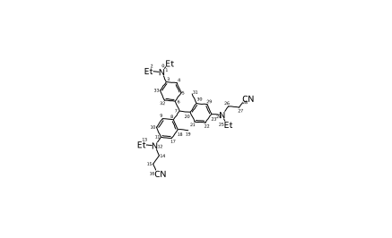 CCN(CC)c1ccc(C(c2ccc(N(CC)CCC#N)cc2C)c2ccc(N(CC)CCC#N)cc2C)cc1